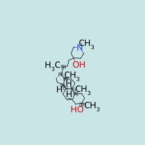 C[C@H](CCC1(O)CCN(C)CC1)[C@H]1CC[C@H]2[C@@H]3CC=C4C[C@@](C)(O)CC[C@]4(C)[C@H]3CC[C@]12C